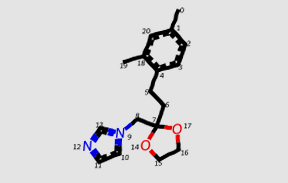 Cc1ccc(CCC2(Cn3ccnc3)OCCO2)c(C)c1